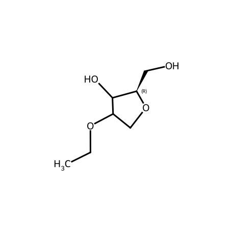 CCOC1CO[C@H](CO)C1O